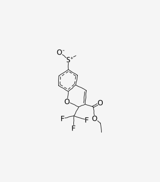 CCOC(=O)C1=Cc2cc([S+](C)[O-])ccc2OC1C(F)(F)F